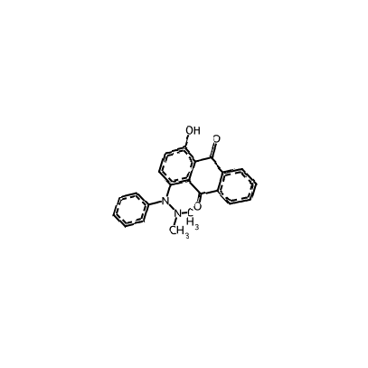 CN(C)N(c1ccccc1)c1ccc(O)c2c1C(=O)c1ccccc1C2=O